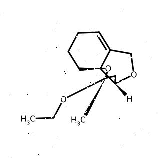 CCO[C@@]1(C)C[C@@H]2OCC3=CCCC[C@]32O1